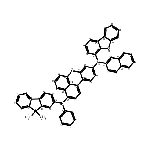 CC1(C)c2ccccc2-c2ccc(N(c3ccccc3)c3ccc4c5c(cccc35)Oc3cc(N(c5ccc6ccccc6c5)c5cccc6c5oc5ccccc56)ccc3-4)cc21